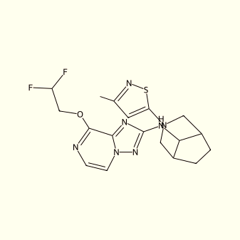 Cc1cc(N2CC3CCC(C2)C3Nc2nc3c(OCC(F)F)nccn3n2)sn1